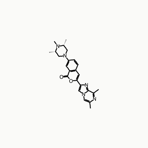 Cc1cn2cc(-c3cc4ccc(N5C[C@@H](C)N(C)[C@@H](C)C5)cc4c(=O)o3)nc2c(C)n1